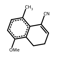 COc1ccc(C)c2c1CCC=C2C#N